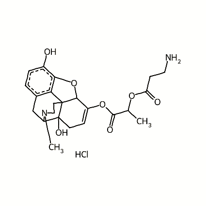 CC(OC(=O)CCN)C(=O)OC1=CCC2(O)C3Cc4ccc(O)c5c4C2(CCN3C)C1O5.Cl